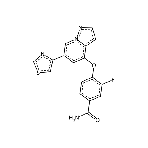 NC(=O)c1ccc(Oc2cc(-c3cscn3)cn3nccc23)c(F)c1